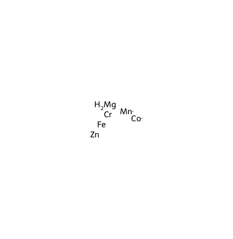 [Co].[Cr].[Fe].[MgH2].[Mn].[Zn]